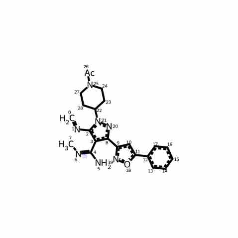 C=Nc1c(/C(N)=N\C)c(-c2cc(-c3ccccc3)on2)nn1C1CCN(C(C)=O)CC1